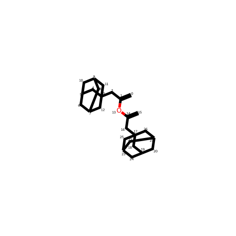 C=C(CC12CC3CC(CC(C3)C1)C2)OC(=C)CC12CC3CC(CC(C3)C1)C2